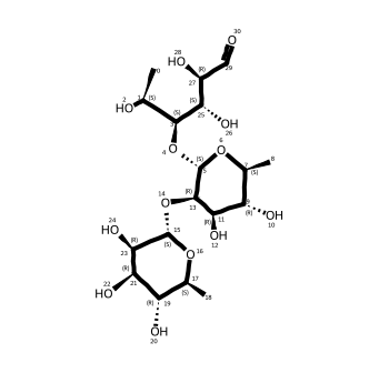 C[C@H](O)[C@H](O[C@@H]1O[C@@H](C)[C@H](O)[C@@H](O)[C@H]1O[C@@H]1O[C@@H](C)[C@H](O)[C@@H](O)[C@H]1O)[C@@H](O)[C@@H](O)C=O